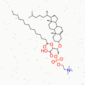 CCCCCCCCCCCCCC(=O)OC(C(=O)O)[C@H](COP(=O)([O-])OCC[N+](C)(C)C)OC1CC[C@@]2(C)C(=CCC3C2CC[C@@]2(C)C3CC[C@@H]2[C@H](C)CCCC(C)C)C1